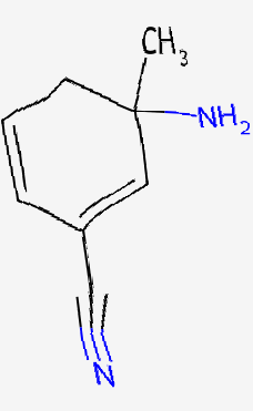 CC1(N)C=C(C#N)C=CC1